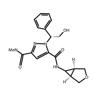 CNC(=O)c1cc(C(=O)NC2[C@H]3COC[C@@H]23)n([C@@H](CO)c2ccccc2)n1